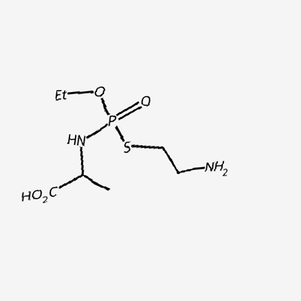 CCOP(=O)(NC(C)C(=O)O)SCCN